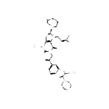 CC(C)=CCn1c(N2CCCC(N)C2)nc2c1c(=O)n(CC(=O)c1cccc(OC(C)C(=O)N3CCOCC3)c1)c(=O)n2C